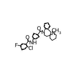 CN1CCCCC12CCN(C(=O)c1ccc(NC(=O)c3cc(F)ccc3Cl)cc1)c1ccccc1C2